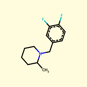 CC1CCCCN1Cc1ccc(F)c(F)c1